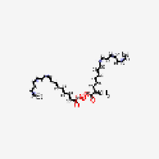 CC/C=C\C/C=C\C/C=C\CCCCCCCC(=O)OOOC(=O)C(C)CCCCCC/C=C\C/C=C\C/C=C\CC